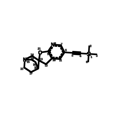 C[Si](C)(C)C#Cc1cnc2c(c1)CC1(CN3CCC1CC3)O2